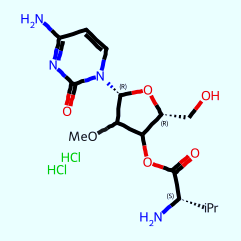 COC1C(OC(=O)[C@@H](N)C(C)C)[C@@H](CO)O[C@H]1n1ccc(N)nc1=O.Cl.Cl